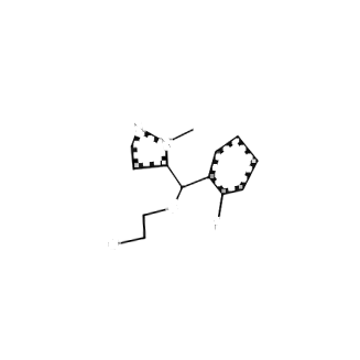 Cn1nccc1C(OCCCl)c1ccccc1F